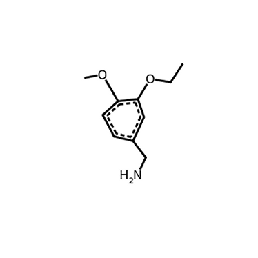 CCOc1cc(CN)ccc1OC